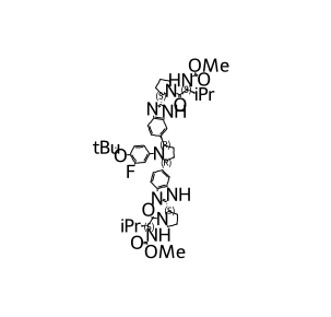 COC(=O)N[C@H](C(=O)N1CCC[C@H]1c1nc2ccc([C@H]3CC[C@H](c4ccc5nc([C@@H]6CCCN6C(=O)[C@@H](NC(=O)OC)C(C)C)[nH]c5c4)N3c3ccc(OC(C)(C)C)c(F)c3)cc2[nH]1)C(C)C